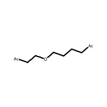 CC(=O)CCCCOCCC(C)=O